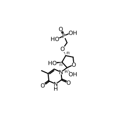 Cc1cn([C@]2(O)OC[C@@H](OCP(=O)(O)O)[C@@H]2O)c(=O)[nH]c1=O